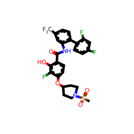 CS(=O)(=O)N1CCC(Oc2ccc(C(=O)Nc3cc(C(F)(F)F)ccc3-c3ccc(F)cc3F)c(O)c2F)CC1